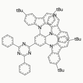 CC(C)(C)c1ccc2c(c1)c1cc(C(C)(C)C)ccc1n2-c1cc(-c2nc(-c3ccccc3)nc(-c3ccccc3)n2)cc(-n2c3ccc(C(C)(C)C)cc3c3cc(C(C)(C)C)ccc32)c1-n1c2ccccc2c2cnccc21